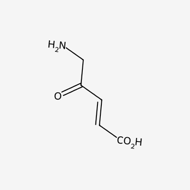 NCC(=O)C=CC(=O)O